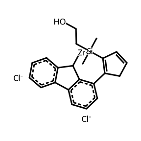 C[Si](C)(CCO)C1=C(c2cccc3c2[CH]([Zr+2])c2ccccc2-3)CC=C1.[Cl-].[Cl-]